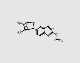 CC1C2CC(c3ccc4cc(OC=O)ccc4c3)C(C2)C1C